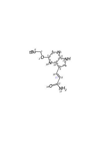 CC(C)(C)COc1cnc2[nH]cc(/C=C/C(N)=O)c2n1